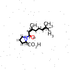 CC(C)=CCCC(C)=CC(=O)N1CCCC1C(=O)O